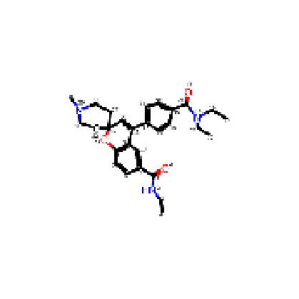 CCNC(=O)c1ccc2c(c1)C(c1ccc(C(=O)N(CC)CC)cc1)=CC1(CCN(C)CC1)O2